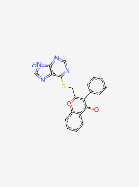 O=c1c(-c2ccccc2)c(CSc2ncnc3[nH]cnc23)oc2ccccc12